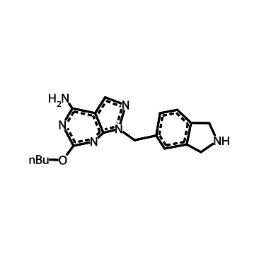 CCCCOc1nc(N)c2cnn(Cc3ccc4c(c3)CNC4)c2n1